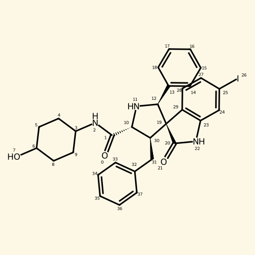 O=C(NC1CCC(O)CC1)[C@@H]1N[C@@H](c2ccccc2)[C@@]2(C(=O)Nc3cc(I)ccc32)[C@H]1Cc1ccccc1